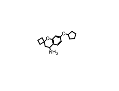 NC1CC2(CCC2)Oc2cc(OC3CCCC3)ccc21